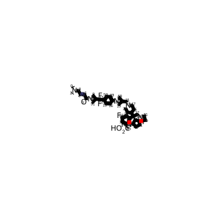 CN(C)C/C=C/C(=O)N1CC(C(F)(F)c2ccc(N3CC(CN4CCC(C(CN5CCC5)(c5cccc(F)c5)[C@H]5CCC[C@@H]5NC(=O)O)CC4)C3)cc2)C1